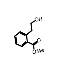 COC(=O)c1ccccc1CCO